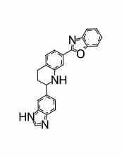 c1ccc2oc(-c3ccc4c(c3)NC(c3ccc5nc[nH]c5c3)CC4)nc2c1